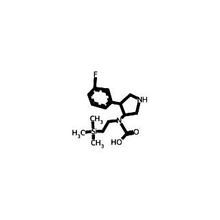 C[Si](C)(C)CCN(C(=O)O)C1CNCC1c1cccc(F)c1